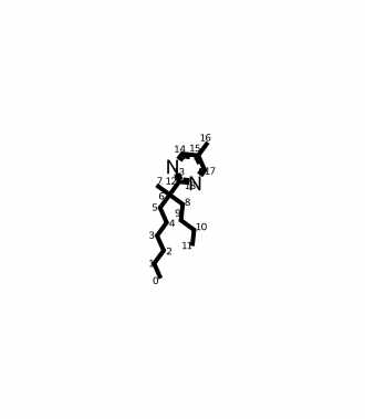 CCCCCCC(C)(CCCC)c1ncc(C)cn1